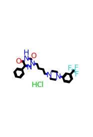 Cl.O=c1[nH]c(=O)n(CCCCN2CCN(c3cccc(C(F)(F)F)c3)CC2)nc1-c1ccccc1